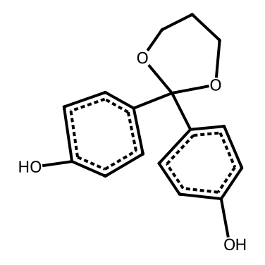 Oc1ccc(C2(c3ccc(O)cc3)OCCCO2)cc1